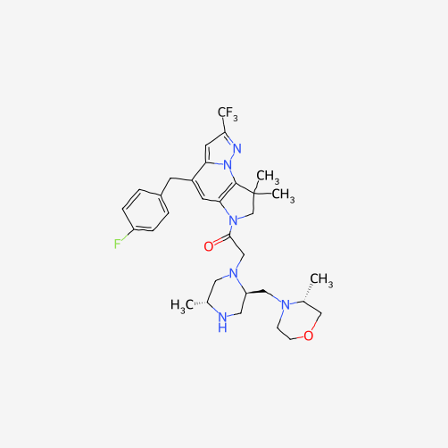 C[C@@H]1CN(CC(=O)N2CC(C)(C)c3c2cc(Cc2ccc(F)cc2)c2cc(C(F)(F)F)nn32)[C@@H](CN2CCOC[C@H]2C)CN1